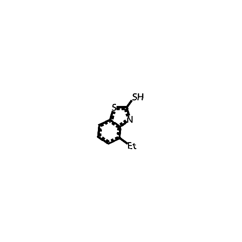 [CH2]Cc1cccc2sc(S)nc12